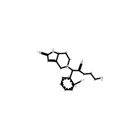 O=C1C=C2CN(C(C(=O)CCCCl)c3ccccc3F)CCC2S1